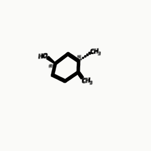 CC1CC[C@@H](O)C[C@@H]1C